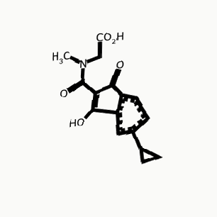 CN(CC(=O)O)C(=O)C1=C(O)c2cc(C3CC3)ccc2C1=O